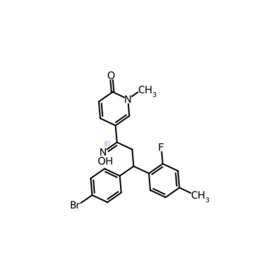 Cc1ccc(C(C/C(=N\O)c2ccc(=O)n(C)c2)c2ccc(Br)cc2)c(F)c1